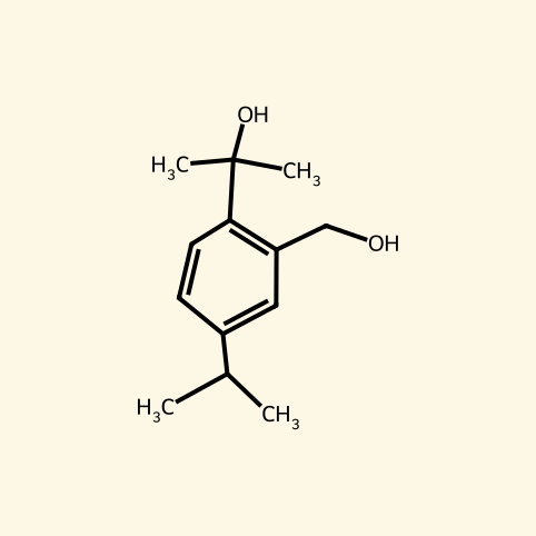 CC(C)c1ccc(C(C)(C)O)c(CO)c1